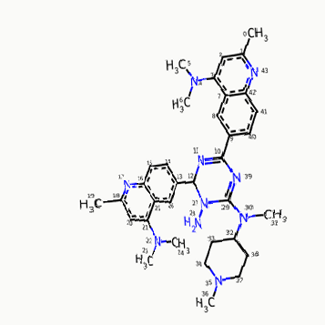 Cc1cc(N(C)C)c2cc(C3=NC(c4ccc5nc(C)cc(N(C)C)c5c4)N(N)C(N(C)C4CCN(C)CC4)=N3)ccc2n1